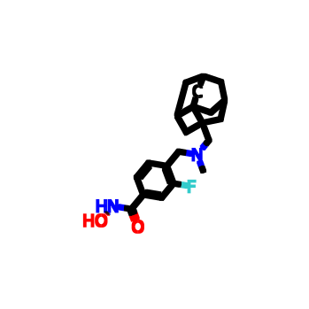 CN(Cc1ccc(C(=O)NO)cc1F)CC12CC3CC4CC(C1)C2(C4)C3